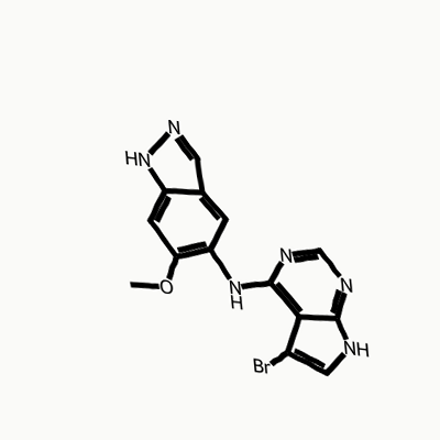 COc1cc2[nH]ncc2cc1Nc1ncnc2[nH]cc(Br)c12